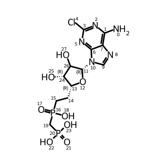 Nc1nc(Cl)nc2c1ncn2[C@@H]1O[C@H](CCP(=O)(O)CP(=O)(O)O)[C@H](O)C1O